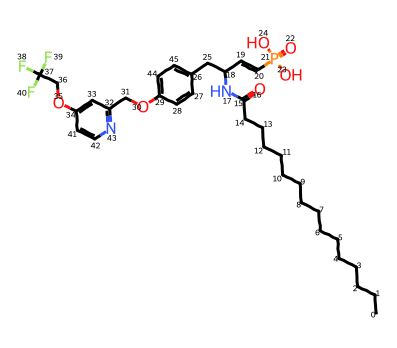 CCCCCCCCCCCCCCCC(=O)NC(C=CP(=O)(O)O)Cc1ccc(OCc2cc(OCC(F)(F)F)ccn2)cc1